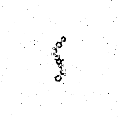 Cc1c2nc(NCC(=O)N3CCCCC3)sc2cc2sc(NCC(=O)N3CCC(N4CCCC4)CC3)nc12